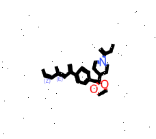 C=C(/C=C(C)/C=C\C)c1ccc(C2(C3CCN(C(=C)CC)CC3)OCCO2)cc1